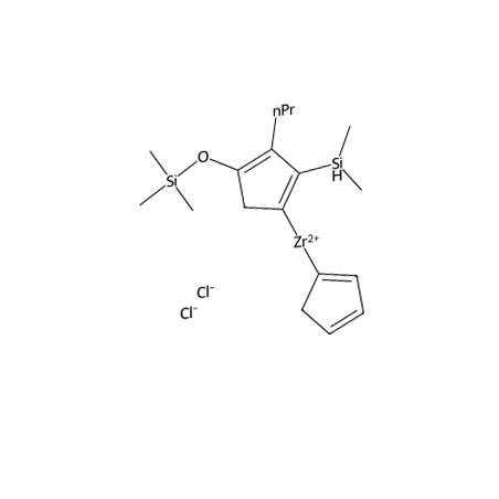 CCCC1=C(O[Si](C)(C)C)C[C]([Zr+2][C]2=CC=CC2)=C1[SiH](C)C.[Cl-].[Cl-]